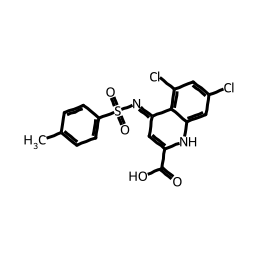 Cc1ccc(S(=O)(=O)N=c2cc(C(=O)O)[nH]c3cc(Cl)cc(Cl)c23)cc1